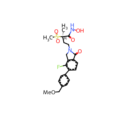 COCc1ccc(-c2ccc3c(c2F)CN(CC[C@](C)(C(=O)NO)S(C)(=O)=O)C3=O)cc1